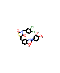 COc1ccc(C=C2SC(=O)N(Cc3ccc(Cl)c(Cl)c3)C2=O)cc1NC(=O)c1ccc(OC)c(OC)c1